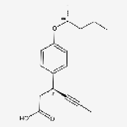 CC#C[C@@H](CC(=O)O)c1ccc(O[C@H](C)CCC)cc1